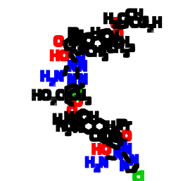 CC(C)C1=C2[C@H]3CC[C@@H]4[C@@]5(C)CC[C@H](OC(=O)CC(C)(Cc6nc(-c7nnc([C@H](O)[C@@]89CC[C@]%10(C)[C@H](CC[C@@H]%11[C@@]%12(C)CC[C@H](OC(=O)CC(C)(C)C(=O)O)C(C)(C)[C@@H]%12CC[C@]%11%10C)C8=C(C(C)C)C(=O)C9)n7CCN)ncc6Cl)C(=O)O)C(C)(C)[C@@H]5CC[C@@]4(C)[C@]3(C)CC[C@@]2(C(O)c2nnc(-c3ncc(Cl)cn3)n2CCN)CC1=O